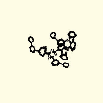 c1ccc(-c2cccc(-c3ccc(-c4nc(-c5cccc(-c6ccccc6)c5)nc(-c5cccc6c5c5ccccc5n6-c5cccc6c7ccccc7n(-c7cccc(-c8ccccc8)c7)c56)n4)cc3)c2)cc1